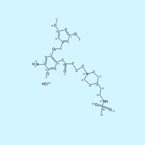 COc1cc(COc2cc(N)c(Cl)cc2CC(=O)CCCN2CCC(CCNS(C)(=O)=O)CC2)cc(OC)c1.Cl